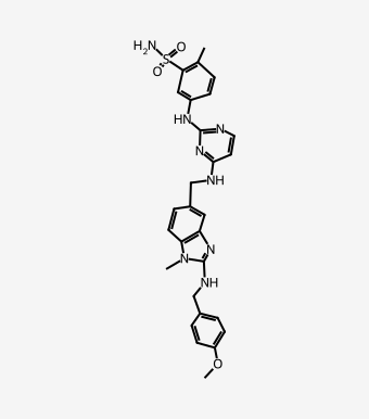 COc1ccc(CNc2nc3cc(CNc4ccnc(Nc5ccc(C)c(S(N)(=O)=O)c5)n4)ccc3n2C)cc1